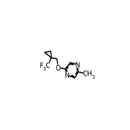 Cc1cnc(OCC2(C(F)(F)F)CC2)cn1